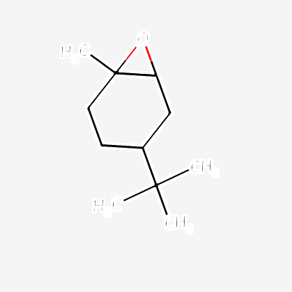 CC(C)(C)C1CCC2(C)OC2C1